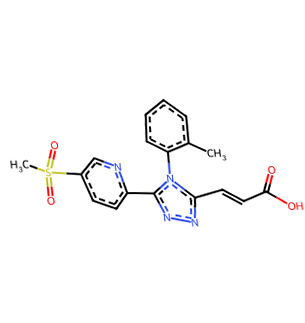 Cc1ccccc1-n1c(/C=C/C(=O)O)nnc1-c1ccc(S(C)(=O)=O)cn1